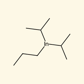 CC[CH2][In]([CH](C)C)[CH](C)C